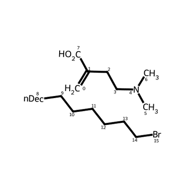 C=C(CCN(C)C)C(=O)O.CCCCCCCCCCCCCCCCBr